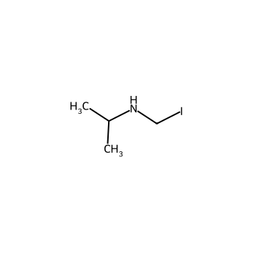 CC(C)NCI